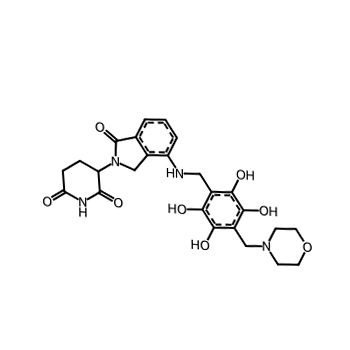 O=C1CCC(N2Cc3c(NCc4c(O)c(O)c(CN5CCOCC5)c(O)c4O)cccc3C2=O)C(=O)N1